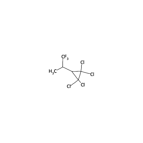 CC(C1C(Cl)(Cl)C1(Cl)Cl)C(F)(F)F